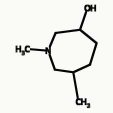 CC1CCC(O)CN(C)C1